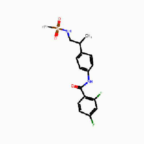 CCCS(=O)(=O)NCC(C)c1ccc(NC(=O)c2ccc(F)cc2F)cc1